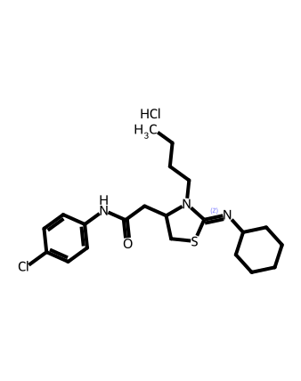 CCCCN1/C(=N/C2CCCCC2)SCC1CC(=O)Nc1ccc(Cl)cc1.Cl